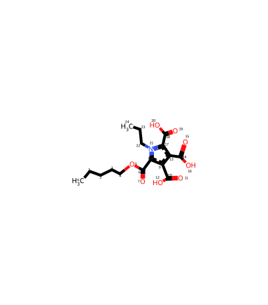 CCCCCOC(=O)c1c(C(=O)O)c(C(=O)O)c(C(=O)O)n1CCC